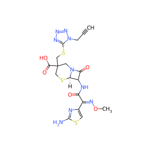 C#CCn1nnnc1SCC1(C(=O)O)CS[C@@H]2C(NC(=O)C(=NOC)c3csc(N)n3)C(=O)N2C1